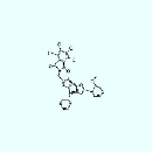 COc1ccccc1-c1cc2c(s1)c1sc(C=C3C(=O)c4c(Cl)c(Cl)c(Cl)c(Cl)c4C3=O)cc1n2-c1ccccc1